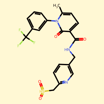 Cc1ccc(C(=O)NCc2ccc(C[SH](=O)=O)nc2)c(=O)n1-c1cccc(C(F)(F)F)c1